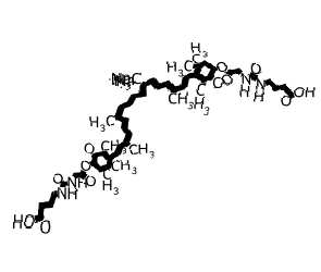 CC(C=CC=C(C)C=CC1=C(C)C(=O)C(OC(=O)CNC(=O)NCCCC(=O)O)CC1(C)C)=CC=CC=C(C)C=CC=C(C)C=CC1=C(C)C(=O)C(OC(=O)CNC(=O)NCCCC(=O)O)CC1(C)C.[Na].[Na]